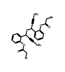 CCCCC#CC(SC(C#CCCCC)c1ccccc1OC(=O)CBr)c1ccccc1OC(=O)CBr